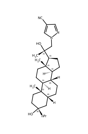 CCC[C@@]1(O)CC[C@@]2(C)[C@H](CC[C@@H]3[C@@H]2CC[C@@]2(C)[C@H]3CC[C@@H]2[C@](C)(O)Cn2cc(C#N)cn2)C1